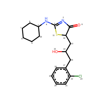 O=C1N=C(NC2CCCCC2)SC1CC(O)Cc1ccccc1Cl